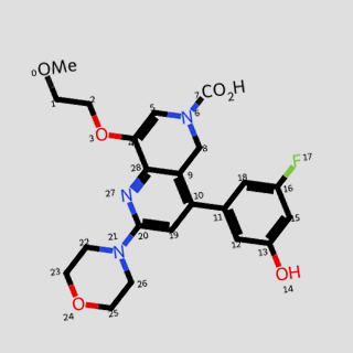 COCCOC1=CN(C(=O)O)Cc2c(-c3cc(O)cc(F)c3)cc(N3CCOCC3)nc21